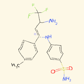 Cc1ccc(/C(=C/C(N)C(F)(F)F)Nc2ccc(S(N)(=O)=O)cc2)cc1